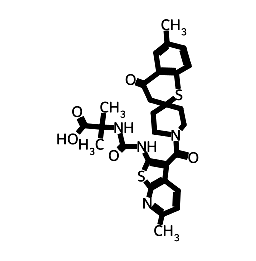 Cc1ccc2c(c1)C(=O)CC1(CCN(C(=O)c3c(NC(=O)NC(C)(C)C(=O)O)sc4nc(C)ccc34)CC1)S2